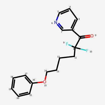 O=C(c1cccnc1)C(F)(F)CCCCOc1ccccc1